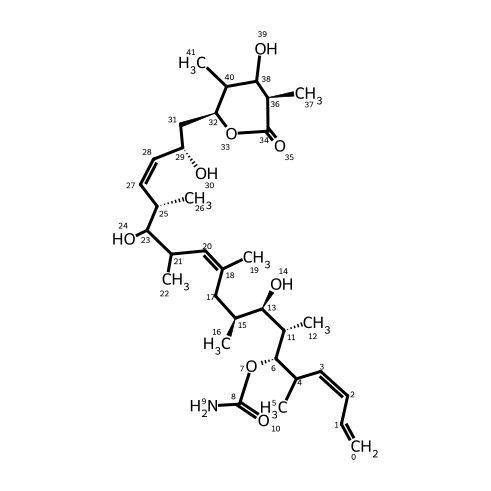 C=C/C=C\C(C)[C@H](OC(N)=O)[C@@H](C)[C@H](O)[C@@H](C)C/C(C)=C\C(C)C(O)[C@@H](C)/C=C\[C@@H](O)C[C@@H]1OC(=O)[C@H](C)C(O)C1C